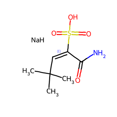 CC(C)(C)/C=C(\C(N)=O)S(=O)(=O)O.[NaH]